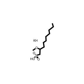 CCCCCCCCC(CS(=O)(=O)O)OC.[KH]